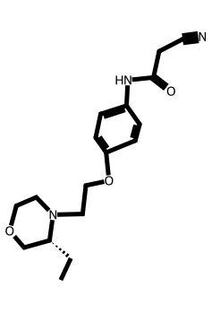 CC[C@@H]1COCCN1CCOc1ccc(NC(=O)CC#N)cc1